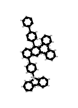 c1ccc(-c2ccc(-c3c4cccc(-c5ccc(-n6c7ccccc7c7ccccc76)cc5)c4cc4c5ccccc5c5ccccc5c34)cc2)cc1